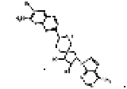 Nc1nc2cc(C3CCC4(CN3)CC(n3ccc5c(N)ncnc53)C(O)C4O)ccc2cc1Br